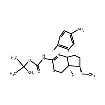 CO[C@@H]1CC[C@]2(c3cc(N)ccc3F)N=C(NC(=O)OC(C)(C)C)SC[C@H]12